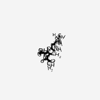 CNS(=O)(=O)NCC1CC(SC2=C(C(=O)O)N3C(=O)C(C(C)O)C3C2C)CN1